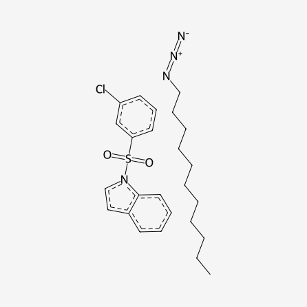 CCCCCCCCCCCN=[N+]=[N-].O=S(=O)(c1cccc(Cl)c1)n1ccc2ccccc21